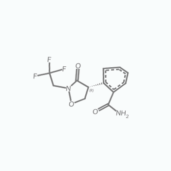 NC(=O)c1ccccc1[C@@H]1CON(CC(F)(F)F)C1=O